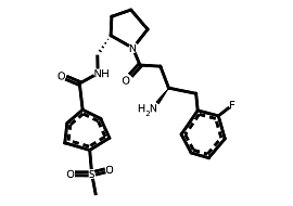 CS(=O)(=O)c1ccc(C(=O)NC[C@@H]2CCCN2C(=O)C[C@H](N)Cc2ccccc2F)cc1